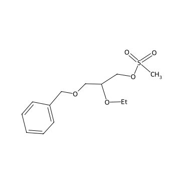 CCOC(COCc1ccccc1)COS(C)(=O)=O